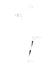 CC[C@H](C)[C@@](C)(CC(C)CNC(C)C)NC